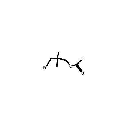 CC(C)CC(C)(C)COC(=O)Cl